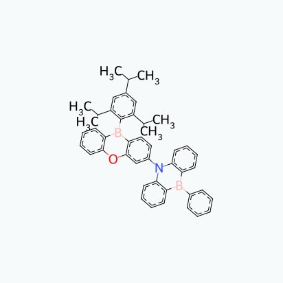 CC(C)c1cc(C(C)C)c(B2c3ccccc3Oc3cc(N4c5ccccc5B(c5ccccc5)c5ccccc54)ccc32)c(C(C)C)c1